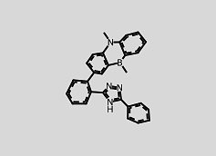 CB1c2ccccc2N(C)c2ccc(-c3ccccc3-c3nnc(-c4ccccc4)[nH]3)cc21